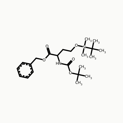 CC(C)(C)OC(=O)NC(CCO[Si](C)(C)C(C)(C)C)C(=O)OCc1ccccc1